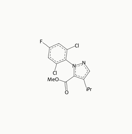 COC(=O)c1c(C(C)C)cnn1-c1c(Cl)cc(F)cc1Cl